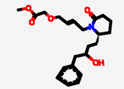 COC(=O)COCC=CCN1C(=O)CCC[C@@H]1CCC(O)Cc1ccccc1